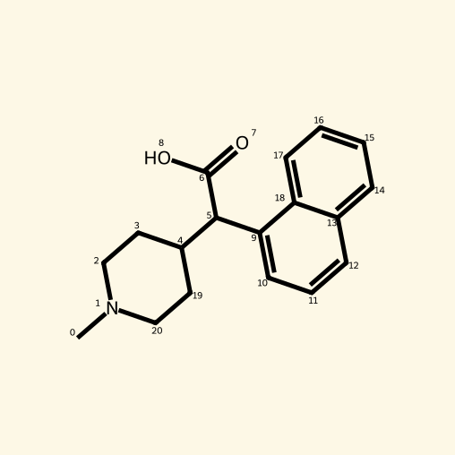 CN1CCC(C(C(=O)O)c2cccc3ccccc23)CC1